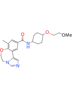 COCCOC1CCC(NC(=O)c2cc(C)c3c(c2)-c2cncn2CCO3)CC1